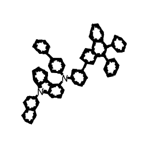 c1ccc(-c2ccc(N(c3cccc(-c4ccc5c(c4)c(-c4ccccc4)c(-c4ccccc4)c4ccccc45)c3)c3cccc4c3c3ccccc3n4-c3ccc4ccccc4c3)cc2)cc1